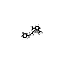 CC(C)c1cccc(C(C)C)c1NCCNCC1CCCCC1